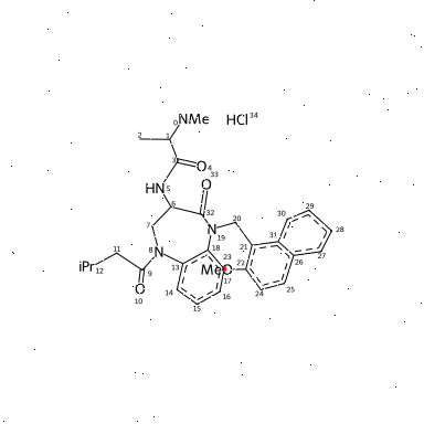 CNC(C)C(=O)NC1CN(C(=O)CC(C)C)c2ccccc2N(Cc2c(OC)ccc3ccccc23)C1=O.Cl